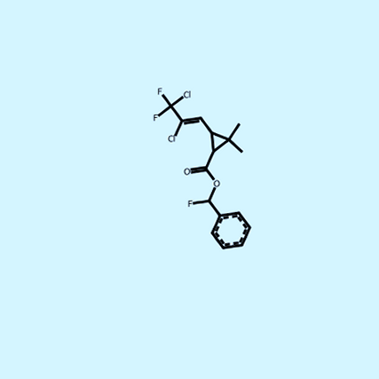 CC1(C)C(C=C(Cl)C(F)(F)Cl)C1C(=O)OC(F)c1ccccc1